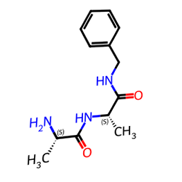 C[C@H](N)C(=O)N[C@@H](C)C(=O)NCc1ccccc1